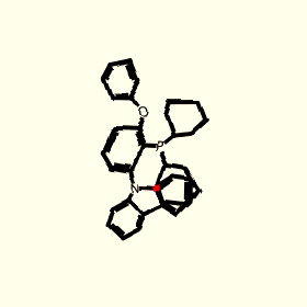 c1ccc(Oc2cccc(-n3c4ccccc4c4ccccc43)c2P(C2CCCCC2)C2CCCCC2)cc1